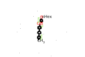 CCCCCCOc1ccc(OC(=O)c2ccc(C3=CCC(c4ccc(C)c(F)c4F)CC3)cc2F)c(F)c1F